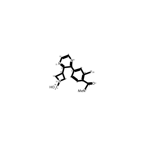 CNC(=O)c1ccc(-c2nccnc2C2CN(C(=O)O)C2)cc1F